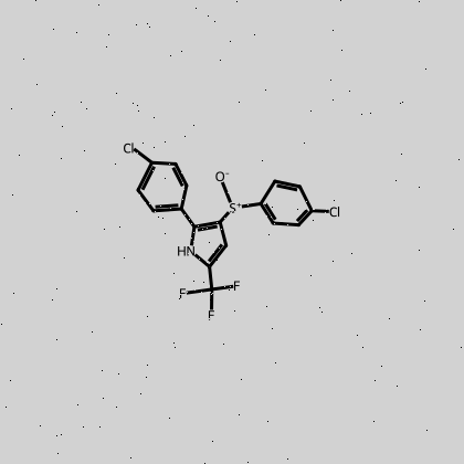 [O-][S+](c1ccc(Cl)cc1)c1cc(C(F)(F)F)[nH]c1-c1ccc(Cl)cc1